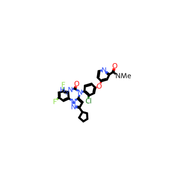 CNC(=O)c1cc(Oc2ccc(N(C(N)=O)c3cc(C4CCCC4)nn3-c3cc(F)cc(F)c3)c(Cl)c2)ccn1